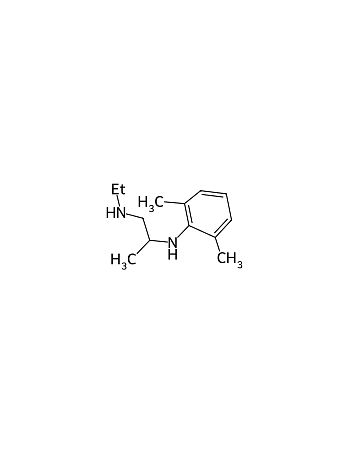 CCNCC(C)Nc1c(C)cccc1C